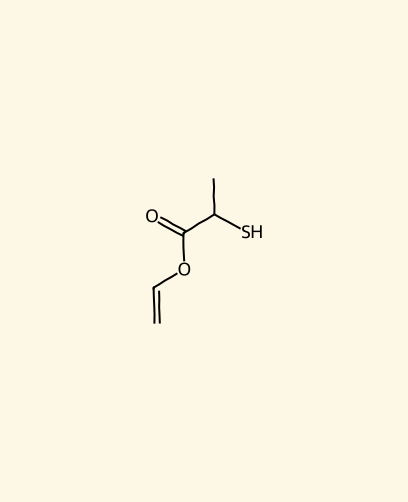 C=COC(=O)C(C)S